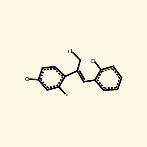 Fc1cc(Cl)ccc1C(=Cc1ccccc1Cl)CCl